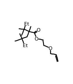 C=CCOCCOC(=O)C(C)(CC(C)(C)CC)C(C)(C)CC